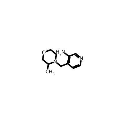 CC1COCCN1Cc1ccncc1N